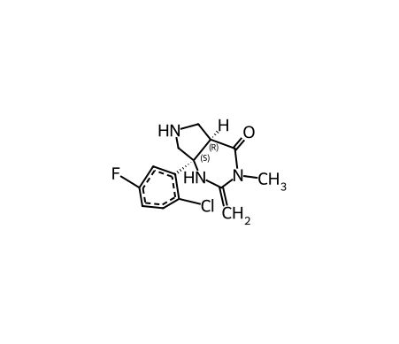 C=C1N[C@@]2(c3cc(F)ccc3Cl)CNC[C@H]2C(=O)N1C